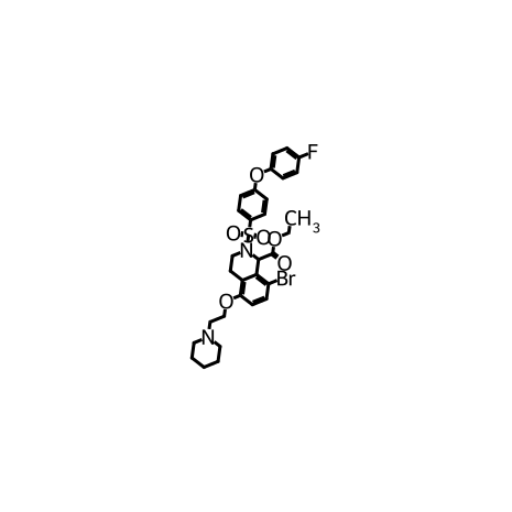 CCOC(=O)C1c2c(Br)ccc(OCCN3CCCCC3)c2CCN1S(=O)(=O)c1ccc(Oc2ccc(F)cc2)cc1